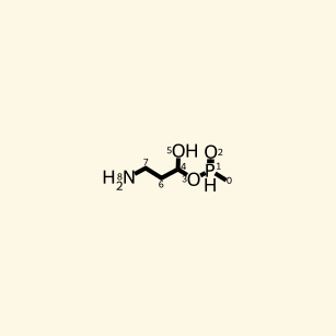 C[PH](=O)OC(O)CCN